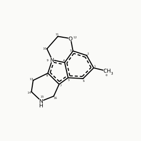 Cc1cc2c3c(c1)c1c(n3CCO2)CCNC1